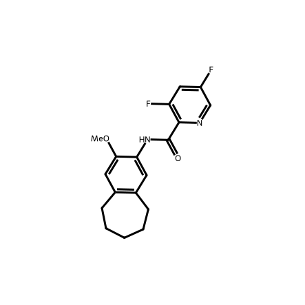 COc1cc2c(cc1NC(=O)c1ncc(F)cc1F)CCCCC2